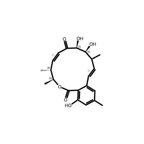 Cc1cc(O)c2c(c1)/C=C/C(C)[C@H](O)[C@H](O)C(=O)/C=C\[C@@H](C)[C@H](C)OC2=O